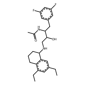 CCc1cc(CC)c2c(c1)C(NCC(O)C(Cc1cc(F)cc(F)c1)NC(C)=O)CCC2